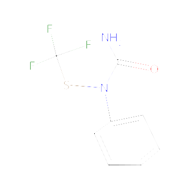 NC(=O)N(SC(F)(F)F)c1ccccc1